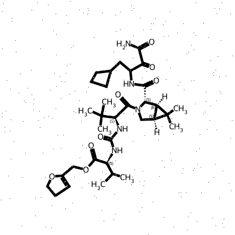 CC(C)[C@H](NC(=O)N[C@H](C(=O)N1C[C@H]2[C@@H]([C@H]1C(=O)NC(CC1CCC1)C(=O)C(N)=O)C2(C)C)C(C)(C)C)C(=O)OCC1=CCCO1